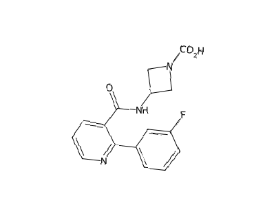 O=C(NC1CN(C(=O)O)C1)c1cccnc1-c1cccc(F)c1